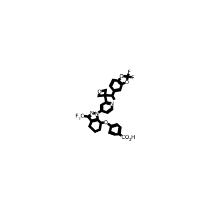 CC(c1ccc2c(c1)OC(F)(F)O2)C1(c2cc(-n3nc(C(F)(F)F)c4c3C(Oc3ccc(C(=O)O)cc3)CCC4)ccn2)COC1